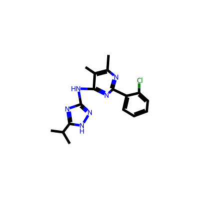 Cc1nc(-c2ccccc2Cl)nc(Nc2n[nH]c(C(C)C)n2)c1C